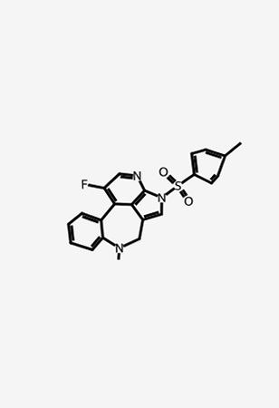 Cc1ccc(S(=O)(=O)n2cc3c4c(c(F)cnc42)-c2ccccc2N(C)C3)cc1